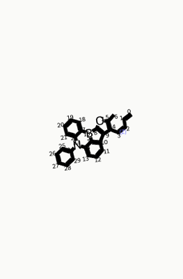 C=C/C=C\c1c(C)oc2c1-c1cccc3c1B2c1ccccc1N3c1ccccc1